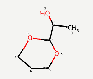 CC(O)C1OCCCO1